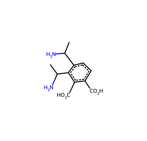 CC(N)c1ccc(C(=O)O)c(C(=O)O)c1C(C)N